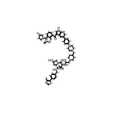 Cc1ncsc1-c1ccc(CNC(=O)[C@@H]2C[C@@H](O)CN2C(=O)[C@@H](NC(=O)CN2CCC(CN3CCN(c4ccc(-c5cnc6[nH]cc(C(=O)c7cccc(N(N8CC[C@@H](F)C8)[SH](=O)=O)c7F)c6c5)cc4)CC3)CC2)C(C)(C)C)cc1